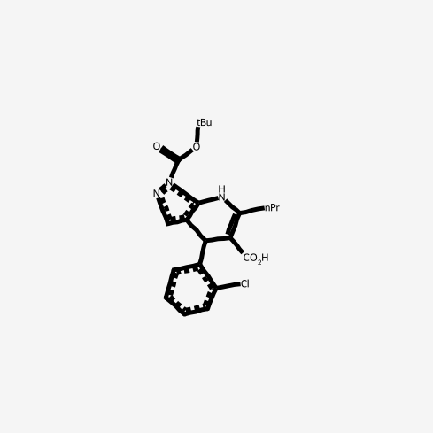 CCCC1=C(C(=O)O)C(c2ccccc2Cl)c2cnn(C(=O)OC(C)(C)C)c2N1